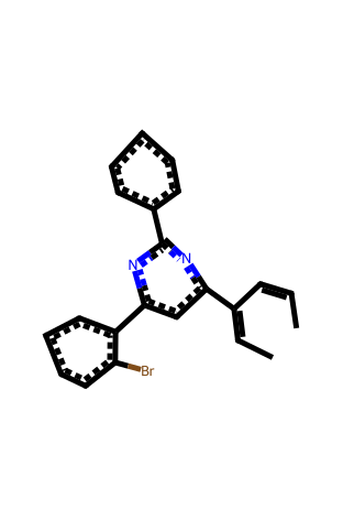 C/C=C\C(=C/C)c1cc(-c2ccccc2Br)nc(-c2ccccc2)n1